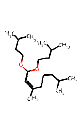 CC(=CC(OCCC(C)C)OCCC(C)C)CCCC(C)C